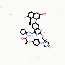 C#Cc1c(F)ccc2cc(O)cc(C3=Cc4nc(OC[C@]5(C)C[C@@H](F)CN5c5ccc(F)cc5)nc(NCC5(N(C)C(=O)C=C)CCCC5)c4CC3)c12